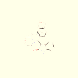 O=C1Nc2ccccc2C1=C(c1ccc2c(c1)COC2)N1CCOCC1C(=O)O